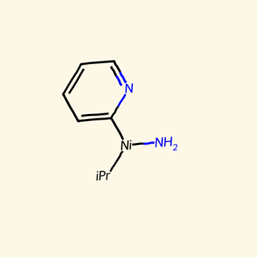 C[CH](C)[Ni]([NH2])[c]1ccccn1